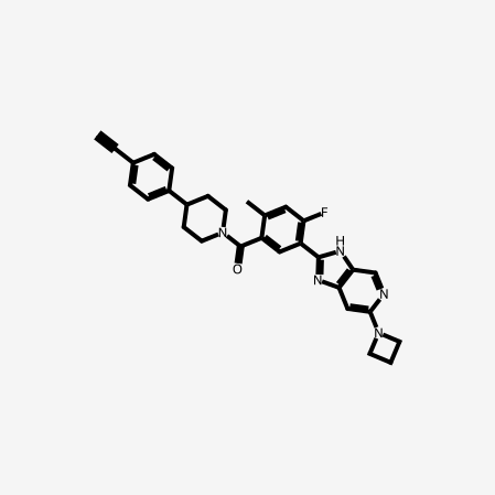 C#Cc1ccc(C2CCN(C(=O)c3cc(-c4nc5cc(N6CCC6)ncc5[nH]4)c(F)cc3C)CC2)cc1